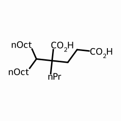 CCCCCCCCC(CCCCCCCC)C(CCC)(CCC(=O)O)C(=O)O